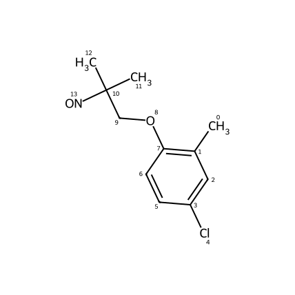 Cc1cc(Cl)ccc1OCC(C)(C)N=O